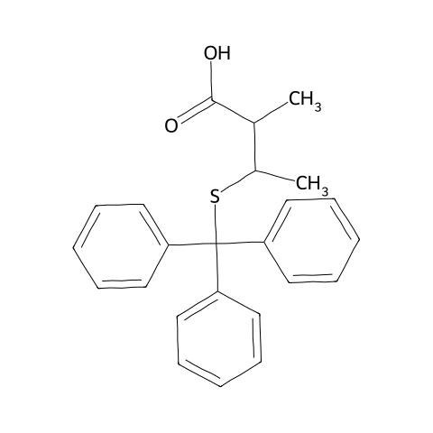 CC(SC(c1ccccc1)(c1ccccc1)c1ccccc1)C(C)C(=O)O